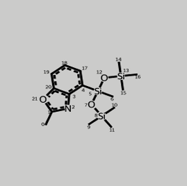 Cc1nc2c([Si](C)(O[Si](C)(C)C)O[Si](C)(C)C)cccc2o1